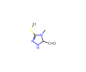 CCSC1=NNC(C=O)N1C